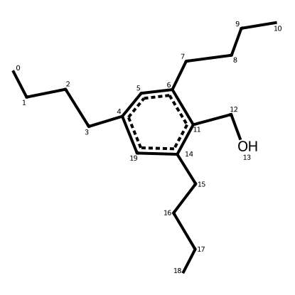 CCCCc1cc(CCCC)c(CO)c(CCCC)c1